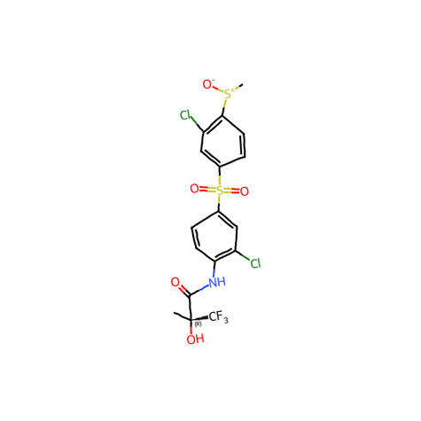 C[S+]([O-])c1ccc(S(=O)(=O)c2ccc(NC(=O)[C@@](C)(O)C(F)(F)F)c(Cl)c2)cc1Cl